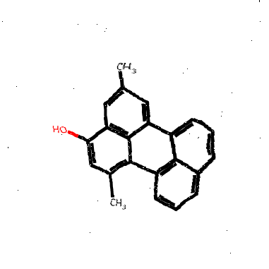 Cc1cc2c(O)cc(C)c3c4cccc5cccc(c(c1)c23)c54